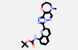 CN1CCCOc2c1cnn1c(-c3ccc4cccc(NC(=O)OC(C)(C)C)c4n3)nnc21